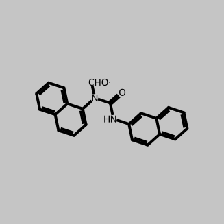 O=[C]N(C(=O)Nc1ccc2ccccc2c1)c1cccc2ccccc12